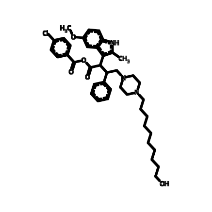 COc1ccc2[nH]c(C)c(C(C(=O)OC(=O)c3ccc(Cl)cc3)C(CN3CCN(CCCCCCCCCCO)CC3)c3ccccc3)c2c1